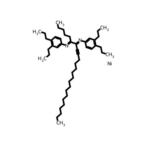 CCCCCCCCCCCCCCCC#CC(=N\c1ccc(CCC)c(CCC)c1)/C(CCCCC)=N/c1ccc(CCC)c(CCC)c1.[Ni]